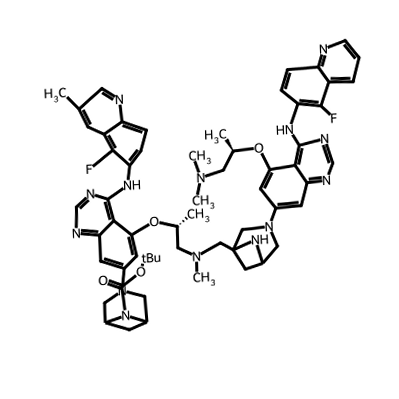 Cc1cnc2ccc(Nc3ncnc4cc(N5CC6CC(C5)N6C(=O)OC(C)(C)C)cc(O[C@H](C)CN(C)CC56CC(CN(c7cc(O[C@H](C)CN(C)C)c8c(Nc9ccc%10ncccc%10c9F)ncnc8c7)C5)N6)c34)c(F)c2c1